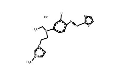 CCN(CCn1cc[n+](C)c1)c1ccc(/N=N/c2nccs2)c(Cl)c1.[Br-]